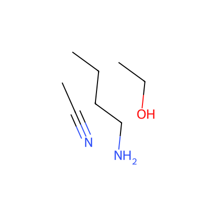 CC#N.CCCCN.CCO